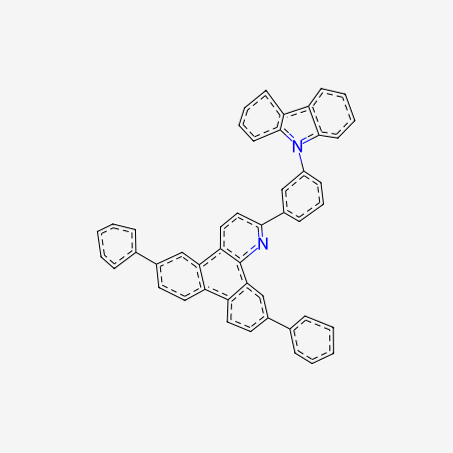 c1ccc(-c2ccc3c(c2)c2ccc(-c4cccc(-n5c6ccccc6c6ccccc65)c4)nc2c2cc(-c4ccccc4)ccc32)cc1